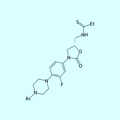 CCC(=S)NC[C@H]1CN(c2ccc(N3CCN(C(C)=O)CC3)c(F)c2)C(=O)O1